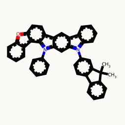 CC1(C)c2ccccc2-c2ccc(-n3c4ccccc4c4cc5c6ccc7oc8ccccc8c7c6n(-c6ccccc6)c5cc43)cc21